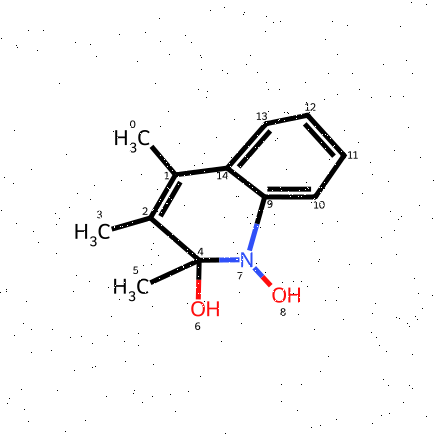 CC1=C(C)C(C)(O)N(O)c2ccccc21